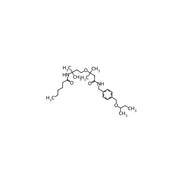 CCCCCC(=O)NC(C)(C)CCOC(C)(C)CC(=O)NCc1ccc(COC(C)CC)cc1